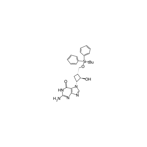 CC(C)(C)[Si](OC[C@H]1C[C@@H](n2cnc3nc(N)[nH]c(=O)c32)[C@@H]1O)(c1ccccc1)c1ccccc1